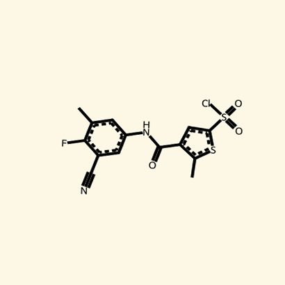 Cc1cc(NC(=O)c2cc(S(=O)(=O)Cl)sc2C)cc(C#N)c1F